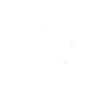 Nc1cc(C(=O)Cl)ccc1S.[NaH]